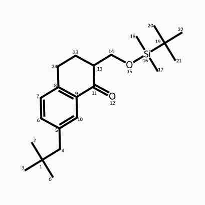 CC(C)(C)Cc1ccc2c(c1)C(=O)C(CO[Si](C)(C)C(C)(C)C)CC2